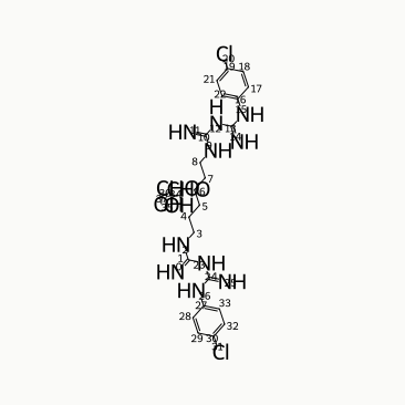 N=C(NCCCCCCNC(=N)NC(=N)Nc1ccc(Cl)cc1)NC(=N)Nc1ccc(Cl)cc1.O=CO.O=CO